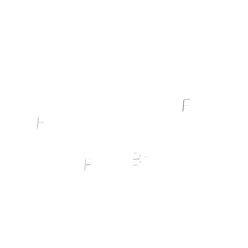 FC1(F)CCC1(F)Br